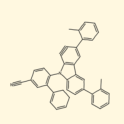 Cc1ccccc1-c1c#cc2c(c1)c1cc(-c3ccccc3C)ccc1n2-c1ccc(C#N)cc1C1=CC=CCC1